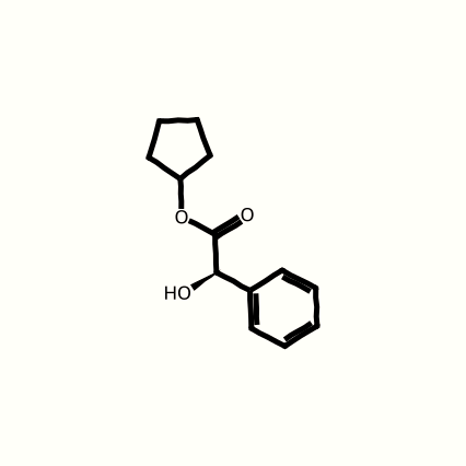 O=C(OC1CCCC1)[C@H](O)c1ccccc1